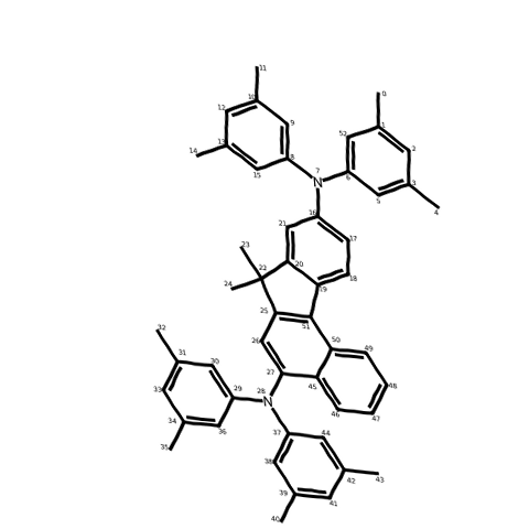 Cc1cc(C)cc(N(c2cc(C)cc(C)c2)c2ccc3c(c2)C(C)(C)c2cc(N(c4cc(C)cc(C)c4)c4cc(C)cc(C)c4)c4ccccc4c2-3)c1